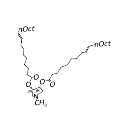 CCCCCCCCC=CCCCCCCCC(=O)O[C@@H]1CN(C)C[C@H]1OC(=O)CCCCCCCC=CCCCCCCCC